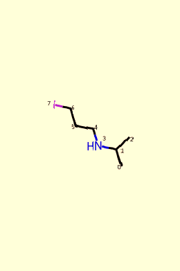 CC(C)NCCCI